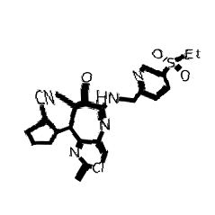 C=C(Cl)/N=C1\C(=C/C)N=C(NCc2ccc(S(=O)(=O)CC)cn2)C(=O)C(C)C1C1CCCC1C#N